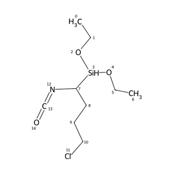 CCO[SiH](OCC)C(CCCCl)N=C=O